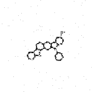 Brc1ccc2c(c1)c1cc3ccc4c5ccccc5sc4c3cc1n2-c1ccccc1